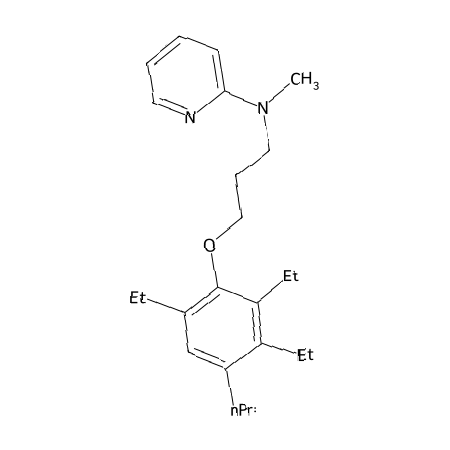 CC[C]c1cc(CC)c(OCCCN(C)c2ccccn2)c(CC)c1CC